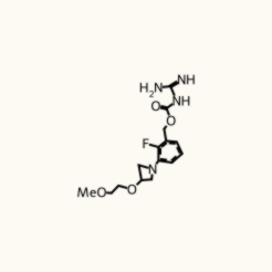 COCCOC1CN(c2cccc(COC(=O)NC(=N)N)c2F)C1